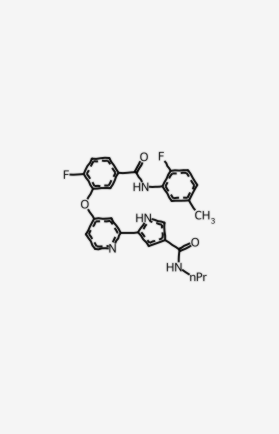 [CH2]CCNC(=O)c1c[nH]c(-c2cc(Oc3cc(C(=O)Nc4cc(C)ccc4F)ccc3F)ccn2)c1